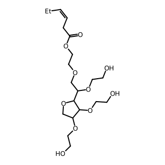 CC/C=C\CC(=O)OCCOCC(OCCO)C1OCC(OCCO)C1OCCO